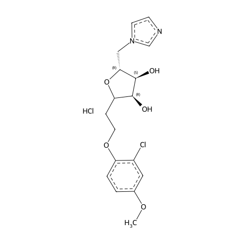 COc1ccc(OCCC2O[C@H](Cn3ccnc3)[C@@H](O)[C@H]2O)c(Cl)c1.Cl